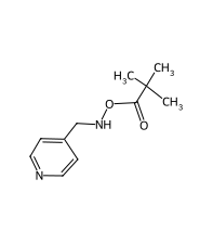 CC(C)(C)C(=O)ONCc1ccncc1